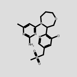 Cc1cc(N2CCCOCC2c2ncc(CS(C)(=O)=O)cc2Cl)nc(N)n1